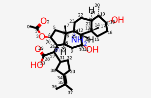 CC(=O)O[C@H]1C[C@@]2(C)[C@@H](C[C@@H](O)[C@H]3[C@@]4(C)CC[C@@H](O)[C@@H](C)[C@@H]4CC[C@@]32N)/C1=C(/C(=O)O)C1CCC(=C(C)C)C1